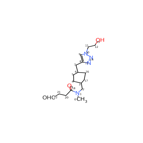 CN(CC1CCC(Cc2cn(CCO)nn2)CC1)C(=O)CCC=O